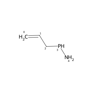 C=CCPN